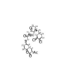 CC(=O)C1=CC2C=C(SCC(=O)NC[C@H]3CN(CC4C=C(Cl)C(Cl)=CC4)CCO3)C=CC2OC1=O